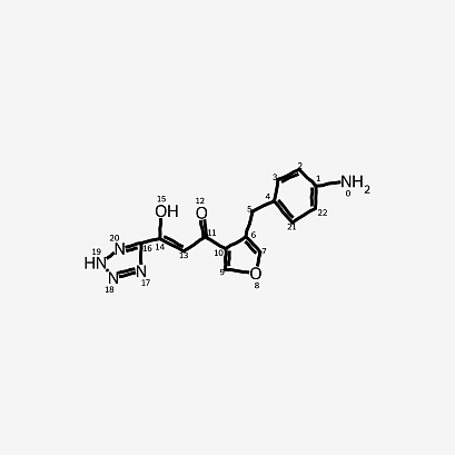 Nc1ccc(Cc2cocc2C(=O)C=C(O)c2nn[nH]n2)cc1